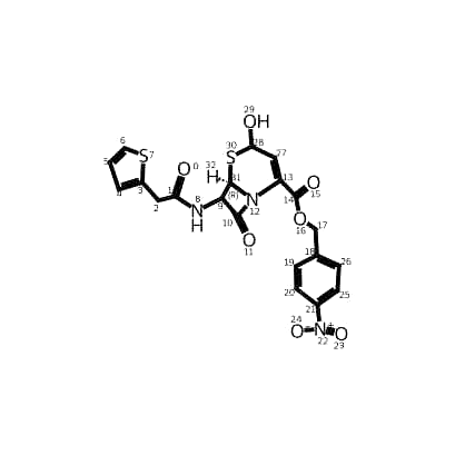 O=C(Cc1cccs1)NC1C(=O)N2C(C(=O)OCc3ccc([N+](=O)[O-])cc3)=CC(O)S[C@H]12